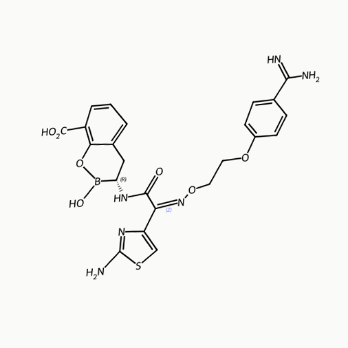 N=C(N)c1ccc(OCCO/N=C(\C(=O)N[C@H]2Cc3cccc(C(=O)O)c3OB2O)c2csc(N)n2)cc1